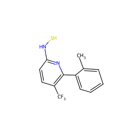 Cc1ccccc1-c1nc(NS)ccc1C(F)(F)F